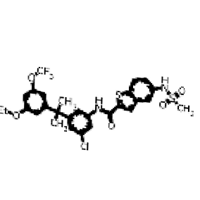 CCOc1cc(OC(F)(F)F)cc(C(C)(C)c2cc(Cl)cc(NC(=O)c3cc4cc(NS(C)(=O)=O)ccc4s3)c2)c1